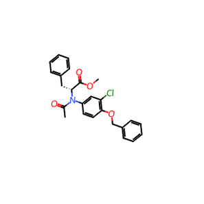 COC(=O)[C@@H](Cc1ccccc1)N(C(C)=O)c1ccc(OCc2ccccc2)c(Cl)c1